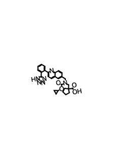 O=C(OC1CC1)N(Cc1ccc2nc(-c3ccccc3-c3nnn[nH]3)ccc2c1)CC1(C(=O)O)CCCC1